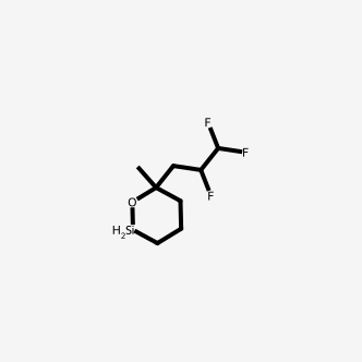 CC1(CC(F)C(F)F)CCC[SiH2]O1